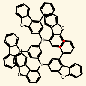 c1ccc(-c2cc(N(c3cc(N(c4cc(-c5ccccc5)c5c(c4)oc4ccccc45)c4cccc5oc6ccccc6c45)cc(-n4c5ccccc5c5ccccc54)c3)c3cccc4oc5ccccc5c34)cc3oc4ccccc4c23)cc1